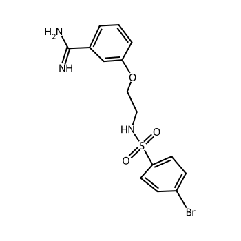 N=C(N)c1cccc(OCCNS(=O)(=O)c2ccc(Br)cc2)c1